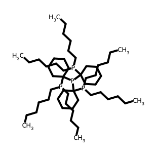 CCCCCCP(CCCCCC)C1(P(C2(P(CCCCCC)CCCCCC)CCCCC2)C2(P(CCCCCC)CCCCCC)CCCCC2)CCCCC1